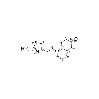 Cc1nc(CCc2cccc3c2CCC(=O)C3)cs1